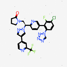 O=C1CCCN1C[C@@H](c1ccc(-c2c(-n3cnnn3)ccc(Cl)c2F)cn1)n1cc(-c2ccnc(C(F)(F)F)c2)cn1